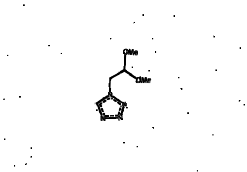 COC(Cn1[c]nnn1)OC